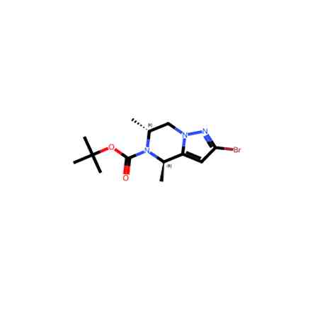 C[C@@H]1Cn2nc(Br)cc2[C@@H](C)N1C(=O)OC(C)(C)C